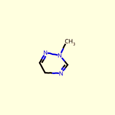 CN1C=NCC=N1